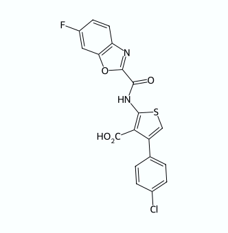 O=C(Nc1scc(-c2ccc(Cl)cc2)c1C(=O)O)c1nc2ccc(F)cc2o1